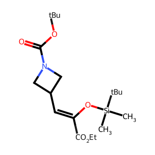 CCOC(=O)/C(=C/C1CN(C(=O)OC(C)(C)C)C1)O[Si](C)(C)C(C)(C)C